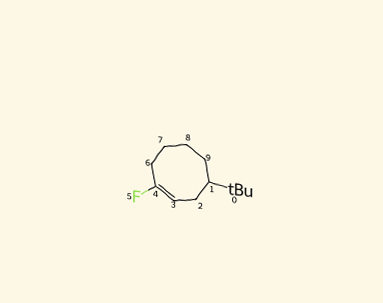 CC(C)(C)C1C/C=C(/F)CCCC1